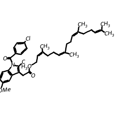 COc1ccc2c(c1)c(CC(=O)OCC=C(C)CCC=C(C)CCC=C(C)CCC=C(C)C)c(C)n2C(=O)c1ccc(Cl)cc1